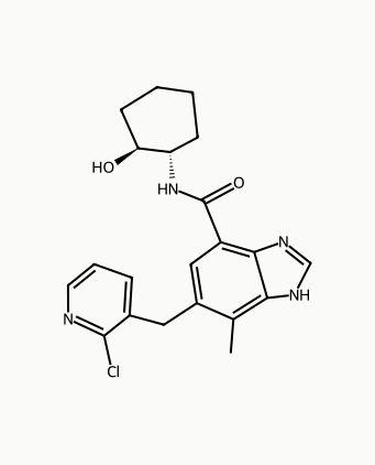 Cc1c(Cc2cccnc2Cl)cc(C(=O)N[C@H]2CCCC[C@@H]2O)c2nc[nH]c12